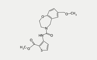 COCc1ccc2c(c1)CN(C(=O)Nc1ccsc1C(=O)OC)CCO2